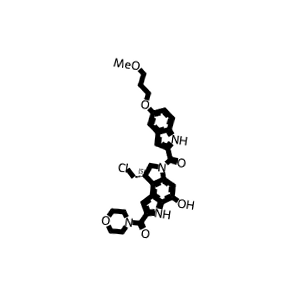 COCCCOc1ccc2[nH]c(C(=O)N3C[C@@H](CCl)c4c3cc(O)c3[nH]c(C(=O)N5CCOCC5)cc43)cc2c1